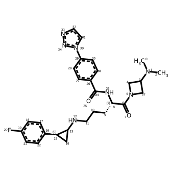 CN(C)C1CN(C(=O)[C@H](CCCNC2C[C@H]2c2ccc(F)cc2)NC(=O)c2ccc(-n3ccnn3)cc2)C1